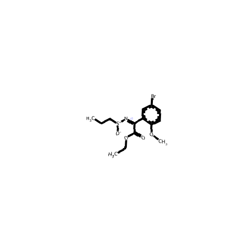 CCC[S+]([O-])/N=C(\C(=O)OCC)c1cc(Br)ccc1OC